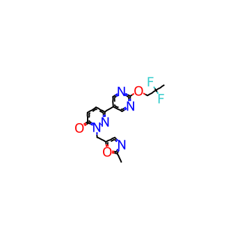 Cc1ncc(Cn2nc(-c3cnc(OCC(C)(F)F)nc3)ccc2=O)o1